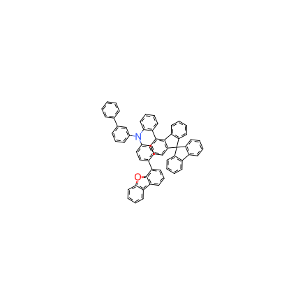 c1ccc(-c2cccc(N(c3ccc(-c4cccc5c4oc4ccccc45)cc3)c3ccccc3-c3cccc4c3-c3ccccc3C43c4ccccc4-c4ccccc43)c2)cc1